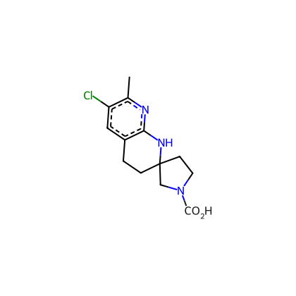 Cc1nc2c(cc1Cl)CCC1(CCN(C(=O)O)C1)N2